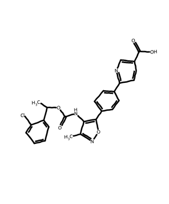 Cc1noc(-c2ccc(-c3ccc(C(=O)O)cn3)cc2)c1NC(=O)OC(C)c1ccccc1Cl